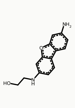 Nc1ccc2c(c1)oc1cc(NCCO)ccc12